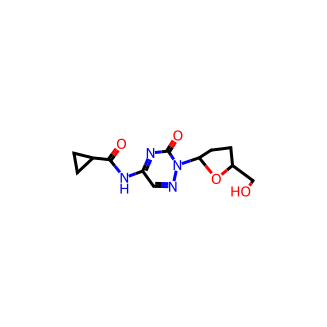 O=C(Nc1cnn(C2CCC(CO)O2)c(=O)n1)C1CC1